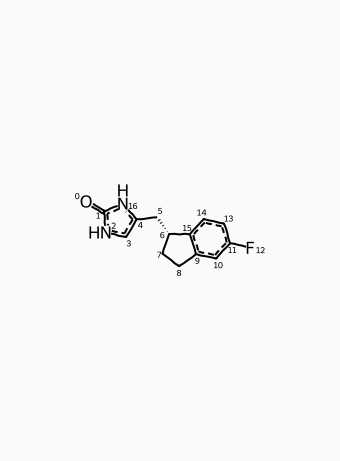 O=c1[nH]cc(C[C@H]2CCc3cc(F)ccc32)[nH]1